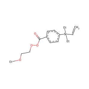 C=C[Si](CC)(CC)c1ccc(C(=O)OO[CH]COCC)cc1